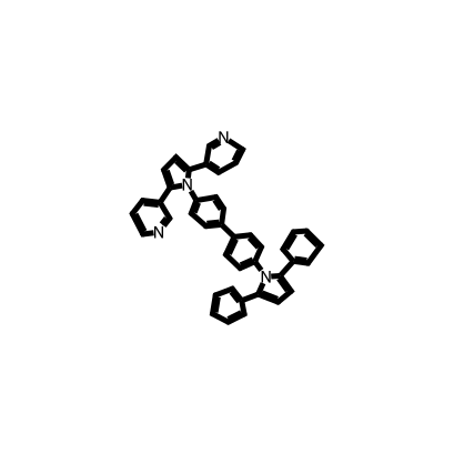 c1ccc(-c2ccc(-c3ccccc3)n2-c2ccc(-c3ccc(-n4c(-c5cccnc5)ccc4-c4cccnc4)cc3)cc2)cc1